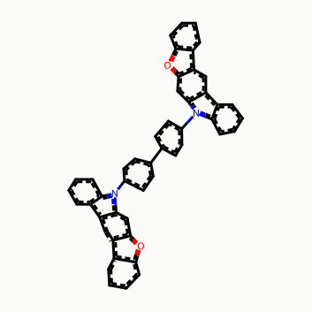 c1ccc2c(c1)oc1cc3c(cc12)c1ccccc1n3-c1ccc(-c2ccc(-n3c4ccccc4c4cc5c(cc43)oc3ccccc35)cc2)cc1